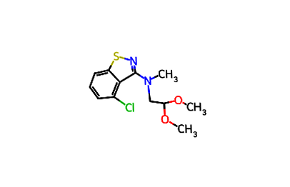 COC(CN(C)c1nsc2cccc(Cl)c12)OC